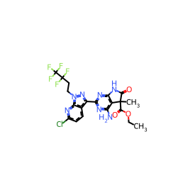 CCOC(=O)C1(C)C(=O)Nc2nc(-c3nn(CCC(F)(F)C(F)(F)F)c4nc(Cl)ccc34)nc(N)c21